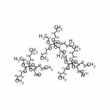 CCCCOC(OCC)C(OCC[O-])(OCCCC)OCCCC.CCCCOC(OCC)C(OCC[O-])(OCCCC)OCCCC.CCCCOC(OCC)C(OCC[O-])(OCCCC)OCCCC.[Al+3]